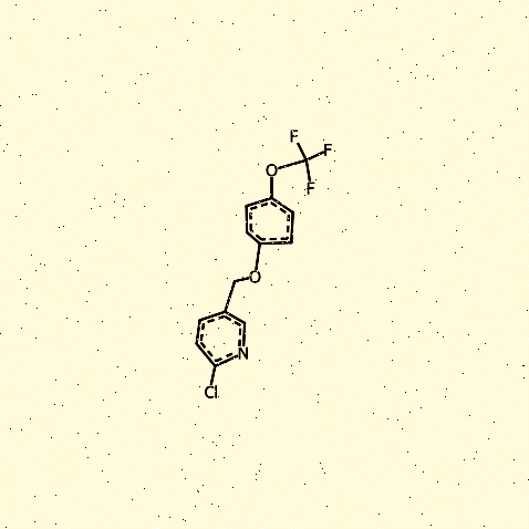 FC(F)(F)Oc1ccc(OCc2ccc(Cl)nc2)cc1